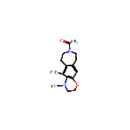 CCCN1CCOc2cc3c(c(C(F)(F)F)c21)CCN(C(=O)C(F)(F)F)CC3